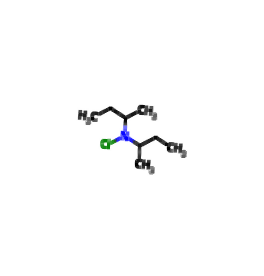 CCC(C)N(Cl)C(C)CC